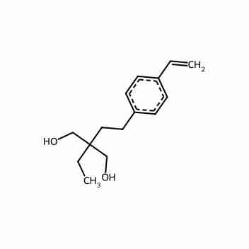 C=Cc1ccc(CCC(CC)(CO)CO)cc1